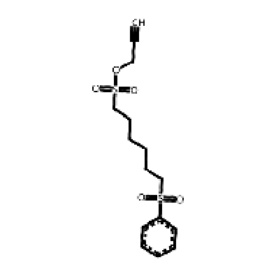 C#CCOS(=O)(=O)CCCCCCS(=O)(=O)c1ccccc1